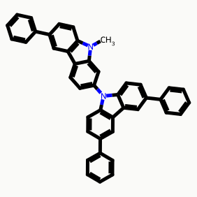 Cn1c2ccc(-c3ccccc3)cc2c2ccc(-n3c4ccc(-c5ccccc5)cc4c4cc(-c5ccccc5)ccc43)cc21